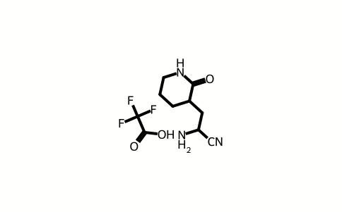 N#CC(N)CC1CCCNC1=O.O=C(O)C(F)(F)F